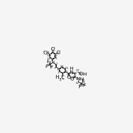 Cc1cc(/C=C/C(c2cc(Cl)c(Cl)c(Cl)c2)C(F)(F)F)ccc1C(=O)N[C@H](CO)C(=O)NCC(F)(F)F